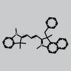 CN1/C(=C/C=C/C2=[N+](C)c3ccc4ccccc4c3C2(C)Cc2ccccc2)C(C)(C)c2ccccc21